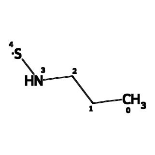 CCCN[S]